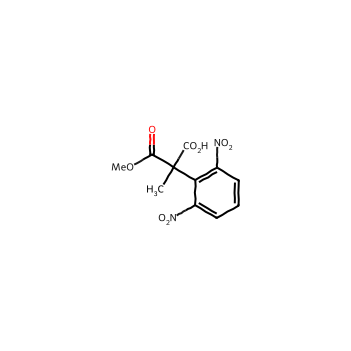 COC(=O)C(C)(C(=O)O)c1c([N+](=O)[O-])cccc1[N+](=O)[O-]